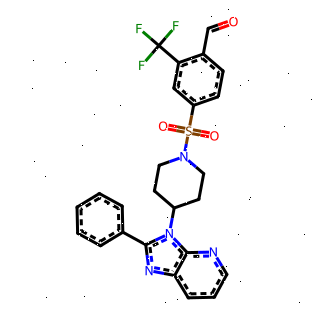 O=Cc1ccc(S(=O)(=O)N2CCC(n3c(-c4ccccc4)nc4cccnc43)CC2)cc1C(F)(F)F